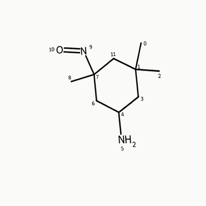 CC1(C)CC(N)CC(C)(N=O)C1